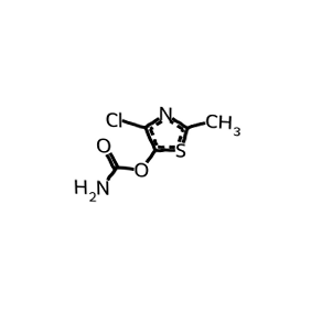 Cc1nc(Cl)c(OC(N)=O)s1